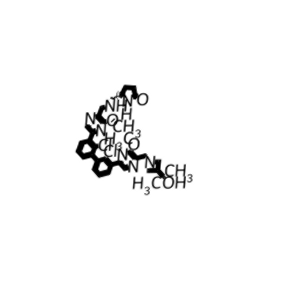 COc1nc(-c2cccc(-c3cccc(-c4cnc(CN5CC(C(C)(C)O)C5)c(OC)n4)c3Cl)c2Cl)cnc1CNC[C@@H]1CCC(=O)N1